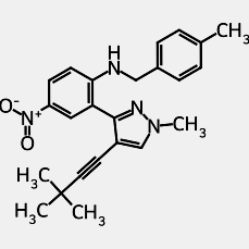 Cc1ccc(CNc2ccc([N+](=O)[O-])cc2-c2nn(C)cc2C#CC(C)(C)C)cc1